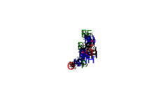 [2H]C([2H])([2H])Oc1nc(N[C@H]2CCN(C3COC3)C[C@H]2F)nn2cc(F)c(-c3ccc4nnn(CC(F)F)c4c3)c12